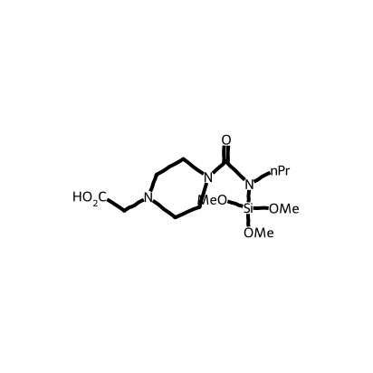 CCCN(C(=O)N1CCN(CC(=O)O)CC1)[Si](OC)(OC)OC